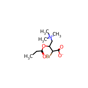 CCC(=O)OC(C[N+](C)(C)C)C(Br)C(=O)[O-]